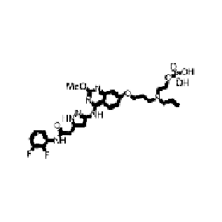 C=CCN(CCCOc1ccc2c(Nc3cc(CC(=O)Nc4cccc(F)c4F)[nH]n3)nc(OC)nc2c1)CCOP(=O)(O)O